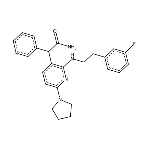 NC(=O)C(c1cccnc1)c1ccc(N2CCCC2)nc1NCCc1cccc(F)c1